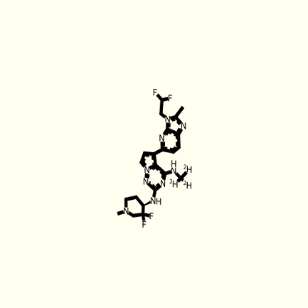 [2H]C([2H])([2H])Nc1nc(N[C@@H]2CCN(C)CC2(F)F)nn2ccc(-c3ccc4nc(C)n(CC(F)F)c4n3)c12